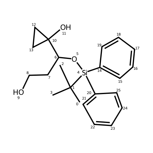 CC(C)(C)[Si](OC(CCO)C1(O)CC1)(c1ccccc1)c1ccccc1